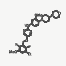 CCc1cc(OC)c(F)c(COc2cnc(Nc3ccc(N4CCC(N5CCOCC5)CC4)c(OC)c3)nc2)c1F